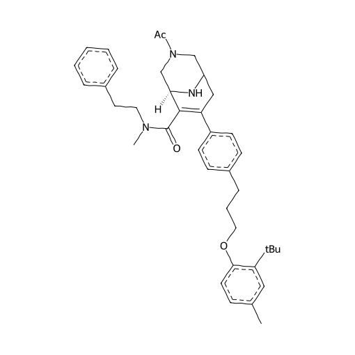 CC(=O)N1CC2CC(c3ccc(CCCOc4ccc(C)cc4C(C)(C)C)cc3)=C(C(=O)N(C)CCc3ccccc3)[C@@H](C1)N2